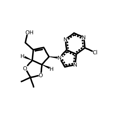 CC1(C)O[C@@H]2[C@H](O1)C(CO)=C[C@H]2n1cnc2c(Cl)ncnc21